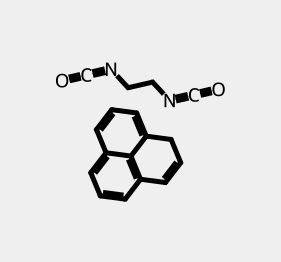 C1=Cc2cccc3cccc(c23)C1.O=C=NCCN=C=O